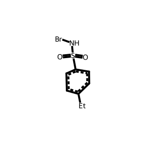 CCc1ccc(S(=O)(=O)NBr)cc1